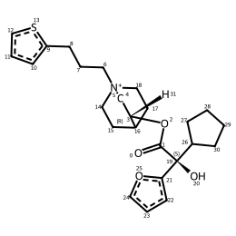 O=C(O[C@H]1C[N+]2(CCCc3cccs3)CCC1CC2)[C@@](O)(c1ccco1)C1CCCC1